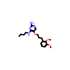 CCCCNc1nc(N)ncc1OCCCc1cccc(OC)c1OC